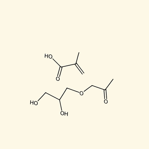 C=C(C)C(=O)O.CC(=O)COCC(O)CO